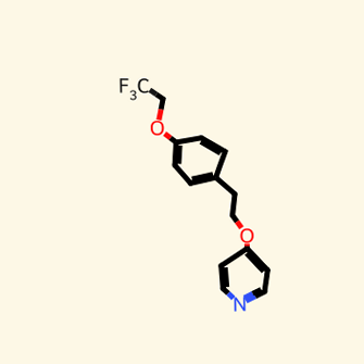 FC(F)(F)COc1ccc(CCOc2ccncc2)cc1